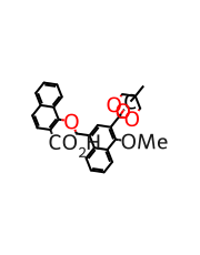 COc1c(C23OCC(C)(CO2)CO3)cc(COc2c(C(=O)O)ccc3ccccc23)c2ccccc12